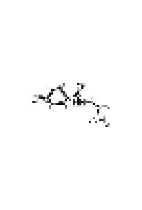 CC(N)CNC(=O)c1ccc(Cl)cc1